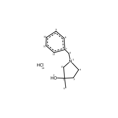 CC1(O)CCN(Cc2ccccc2)C1.Cl